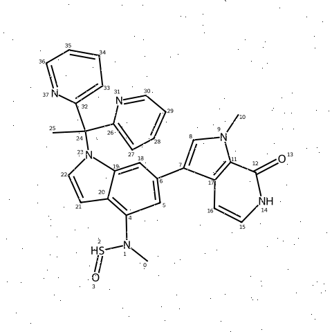 CN([SH]=O)c1cc(-c2cn(C)c3c(=O)[nH]ccc23)cc2c1ccn2C(C)(c1ccccn1)c1ccccn1